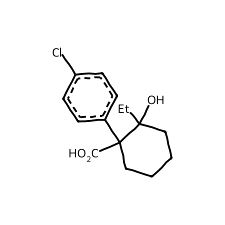 CCC1(O)CCCCC1(C(=O)O)c1ccc(Cl)cc1